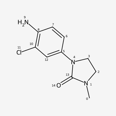 CN1CCN(c2ccc(N)c(Cl)c2)C1=O